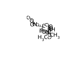 Cc1cccc(C)c1-c1cc2nc(n1)NS(=O)(=O)c1cccc(c1)CC(C1CC3(CCN(C(=O)COCc4ccccc4)CC3)C1)[C@H](CC(C)C)CO2